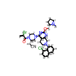 C=C(Br)C(=O)N1CCN(c2nc(OC[C@@H]3CCCN3C)nc3c2CCN(c2cccc4cccc(Cl)c24)C3)C[C@@H]1CC#N